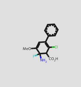 COC1=CC(c2ccccc2)=C(Cl)C(C(=O)O)C1(N)F